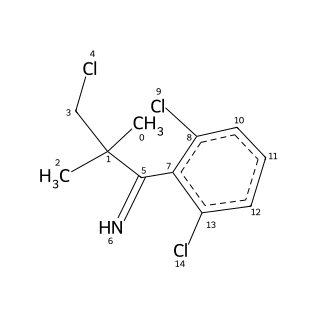 CC(C)(CCl)C(=N)c1c(Cl)cccc1Cl